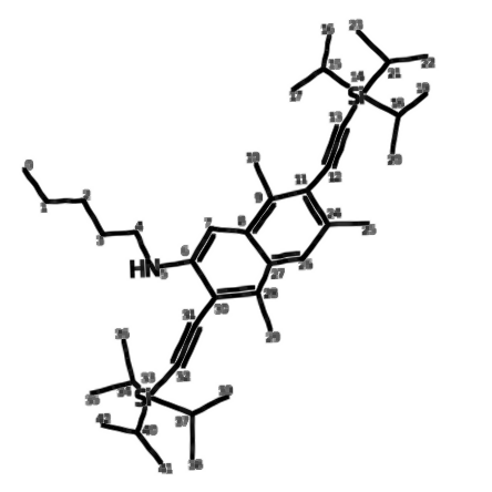 CCCCCNc1cc2c(C)c(C#C[Si](C(C)C)(C(C)C)C(C)C)c(C)cc2c(C)c1C#C[Si](C(C)C)(C(C)C)C(C)C